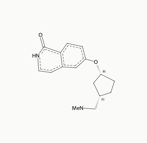 CNC[C@H]1CC[C@@H](Oc2ccc3c(=O)[nH]ccc3c2)C1